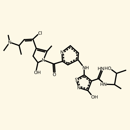 CC1=C(/C(Cl)=C\C(C)N(C)C)CC(O)N1C(=O)c1cc(Nc2snc(O)c2C(=N)NC(C)C(C)O)ccn1